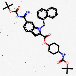 CC(C)(C)OC(=O)NC(=N)c1ccc2cc(C(=O)OC3CCC(NC(=O)OC(C)(C)C)CC3)n(Cc3cccc4ccccc34)c2c1